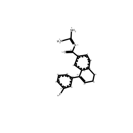 NC(N)=NC(=O)c1ccc2c(c1)C(c1cccc(F)c1)=CCC2